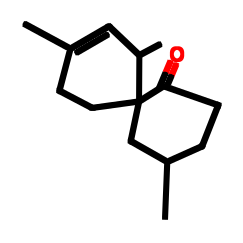 CC1=CC(C)C2(CC1)CC(C)CCC2=O